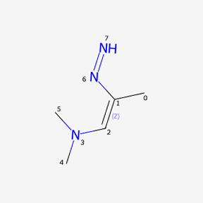 C/C(=C/N(C)C)N=N